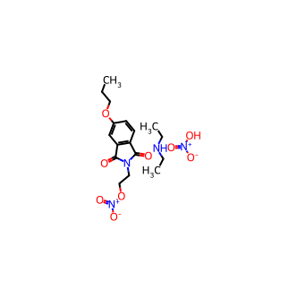 CCCOc1ccc2c(c1)C(=O)N(CCO[N+](=O)[O-])C2=O.CCNCC.O=[N+]([O-])O